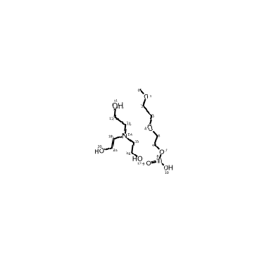 COCCOCC[O][Ti](=[O])[OH].OCCN(CCO)CCO